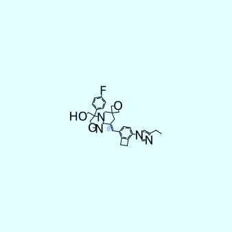 CCc1cn(-c2ccc(/C=C3\CC4(COC4)CN4C3=NOCC4(CO)c3ccc(F)cc3)c3c2CC3)cn1